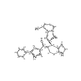 CC(C)c1cccn2nc([C@H]3c4nc[nH]c4CCN3C(=O)c3nnc(-c4ncccn4)o3)cc12